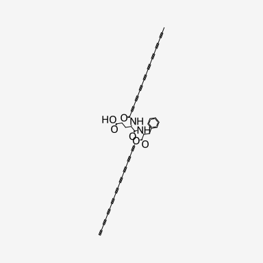 C#CC#CC#CC#CC#CC#CC#CC#CC#COC(=O)C(Cc1ccccc1)NC(=O)C(CCC(=O)O)NC(=O)C#CC#CC#CC#CC#CC#CC#CC#CC